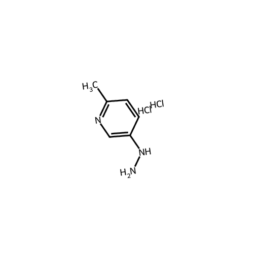 Cc1ccc(NN)cn1.Cl.Cl